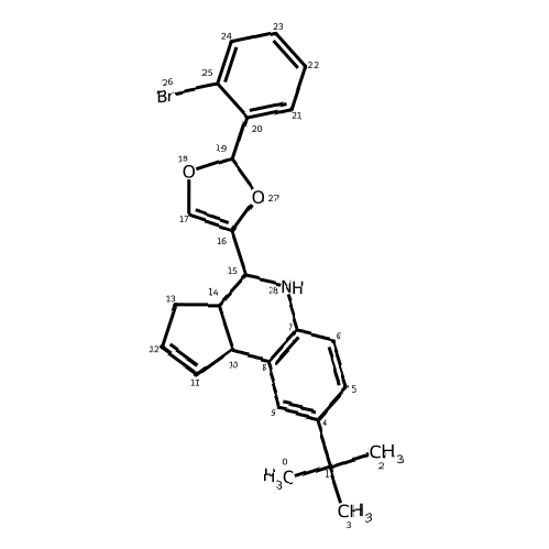 CC(C)(C)c1ccc2c(c1)C1C=CCC1C(C1=COC(c3ccccc3Br)O1)N2